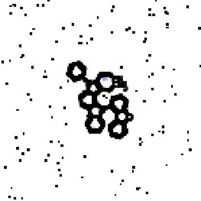 C/C=C\c1c(CC)c2c(ccc3c4ccccc4n(-c4cccc5oc6ccccc6c45)c32)n1-c1ccccc1